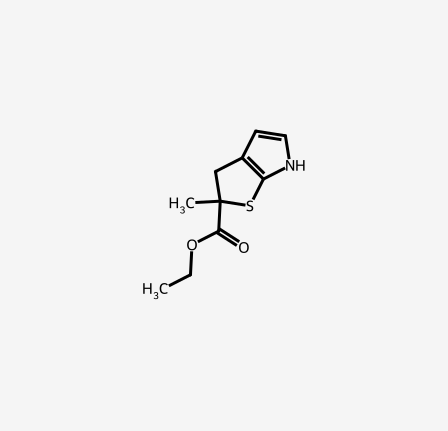 CCOC(=O)C1(C)Cc2cc[nH]c2S1